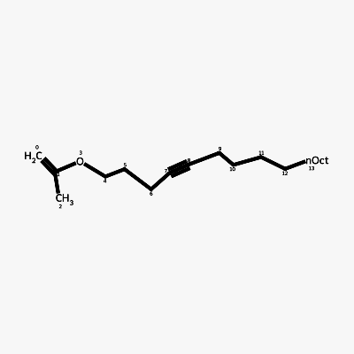 C=C(C)OCCCC#CCCCCCCCCCCCC